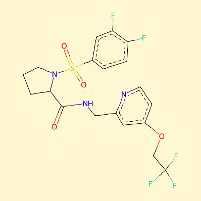 O=C(NCc1cc(OCC(F)(F)F)ccn1)C1CCCN1S(=O)(=O)c1ccc(F)c(F)c1